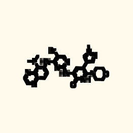 Cn1cc(-c2cc(Nc3ncc(Br)c(Nc4ccc5nccnc5c4P(C)C)n3)c(=O)[nH]c2N2CCOCC2)cn1